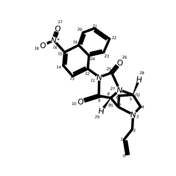 C=CCN1C[C@@H]2CC1[C@@H]1C(=O)N(c3ccc([N+](=O)[O-])c4ccccc34)C(=O)N21